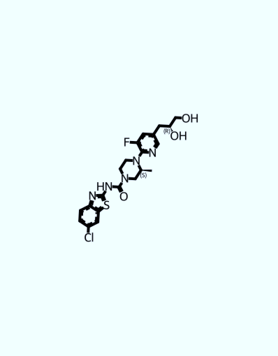 C[C@H]1CN(C(=O)Nc2nc3ccc(Cl)cc3s2)CCN1c1ncc(C[C@@H](O)CO)cc1F